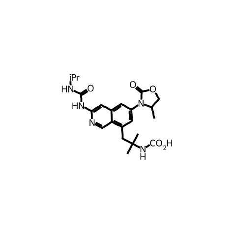 CC(C)NC(=O)Nc1cc2cc(N3C(=O)OCC3C)cc(CC(C)(C)NC(=O)O)c2cn1